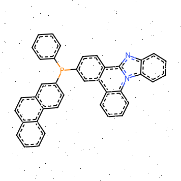 c1ccc(P(c2ccc3c(ccc4ccccc43)c2)c2ccc3c(c2)c2ccccc2n2c4ccccc4nc32)cc1